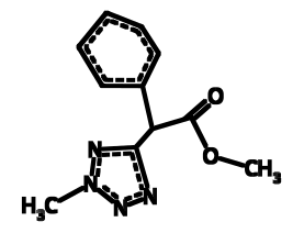 COC(=O)C(c1ccccc1)c1nnn(C)n1